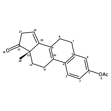 CC(=O)Oc1ccc2c(c1)CCC1=C2CC[C@]2(C)C(=O)CC=C12